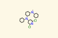 CN(c1ccccc1)c1cccc(N(c2ccccc2)c2cc(Cl)nc(Cl)c2)c1